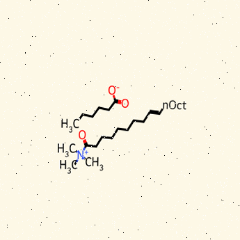 CCCCCC(=O)[O-].CCCCCCCCC=CCCCCCCCC(=O)[N+](C)(C)C